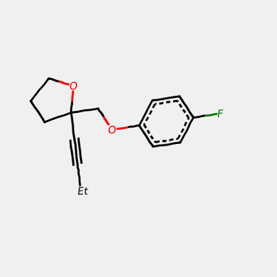 CCC#CC1(COc2ccc(F)cc2)CCCO1